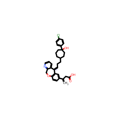 C=C(CC(=O)O)c1ccc2c(c1)/C(=C/CCC1CCCC(O)(c3ccc(Cl)cc3)CC1)c1cccnc1CO2